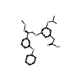 CO/N=C(\COc1cc(CC(=O)O)cc(OC(C)C)c1)c1cccc(Oc2ccccc2)c1